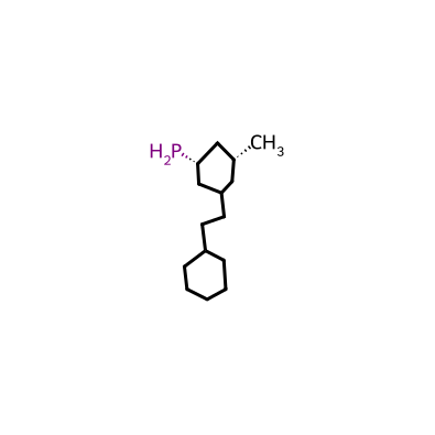 C[C@@H]1CC(CCC2CCCCC2)C[C@H](P)C1